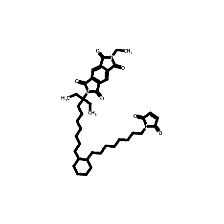 CCn1c(=O)c2cc3c(=O)n(C(CC)(CC)CCCCCCCC4CCCCC4CCCCCCCCN4C(=O)C=CC4=O)c(=O)c3cc2c1=O